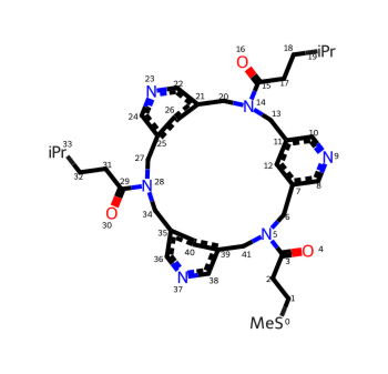 CSCCC(=O)N1Cc2cncc(c2)CN(C(=O)CCC(C)C)Cc2cncc(c2)CN(C(=O)CCC(C)C)Cc2cncc(c2)C1